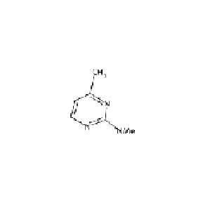 CNc1n[c]cc(C)n1